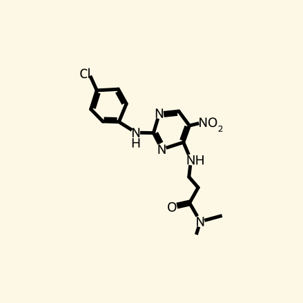 CN(C)C(=O)CCNc1nc(Nc2ccc(Cl)cc2)ncc1[N+](=O)[O-]